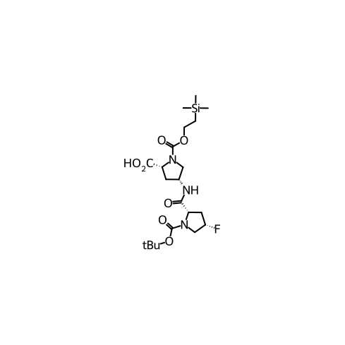 CC(C)(C)OC(=O)N1C[C@@H](F)C[C@H]1C(=O)N[C@@H]1C[C@H](C(=O)O)N(C(=O)OCC[Si](C)(C)C)C1